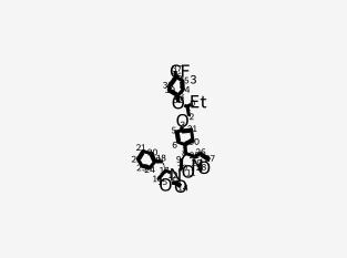 CCC(COc1ccc([C@H](CC(=O)N2C(=O)OC[C@@H]2Cc2ccccc2)c2ccon2)cc1)Oc1ccc(C(F)(F)F)cc1